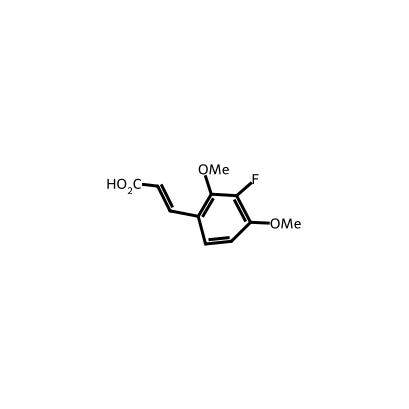 COc1ccc(C=CC(=O)O)c(OC)c1F